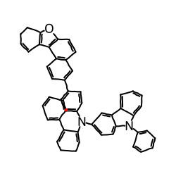 C1=Cc2c(oc3ccc4cc(-c5ccc(N(C6=CCCC=C6c6ccccc6)c6ccc7c(c6)c6ccccc6n7-c6ccccc6)cc5)ccc4c23)CC1